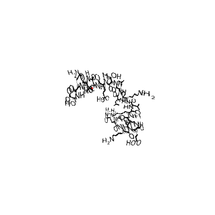 CC(C)C[C@H](NC(=O)[C@H](CCCCN)NC(=O)[C@@H](NC(=O)[C@H](CCCCN)NC(=O)[C@H](C)NC(=O)[C@H](CCC(=O)O)NC(=O)[C@H](CCCCN)NC(=O)[C@@H](N)CCC(N)=O)C(C)C)C(=O)N[C@@H](CC(C)C)C(=O)N[C@H](C(=O)N[C@@H](CCC(=O)O)C(=O)N[C@@H](CO)C(=O)N[C@H](C(=O)N[C@@H](CC(N)=O)C(=O)N[C@@H](CO)C(=O)O)C(C)C)[C@@H](C)O